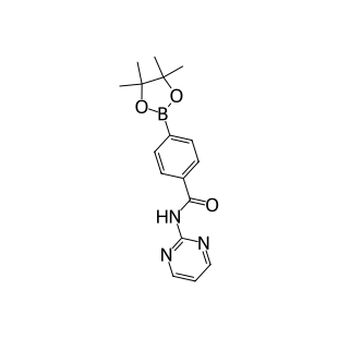 CC1(C)OB(c2ccc(C(=O)Nc3ncccn3)cc2)OC1(C)C